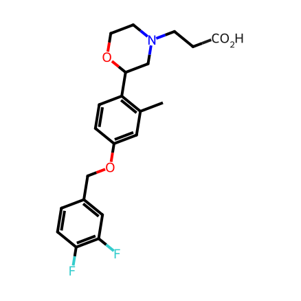 Cc1cc(OCc2ccc(F)c(F)c2)ccc1C1CN(CCC(=O)O)CCO1